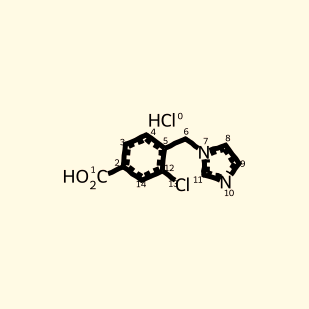 Cl.O=C(O)c1ccc(Cn2ccnc2)c(Cl)c1